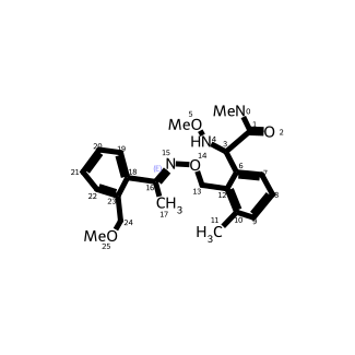 CNC(=O)C(NOC)c1cccc(C)c1CO/N=C(\C)c1ccccc1COC